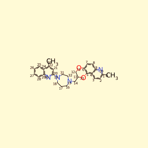 Cc1ccc2c3c(ccc2n1)OCC(CN1CCCN(c2cc(C)c4ccccc4n2)CC1)O3